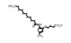 Cc1cc(SCCCC(=O)O)c(NC(=O)CCCCCCCCCC(=O)O)s1